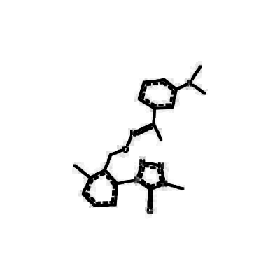 CC(=NOCc1c(C)cccc1-n1nnn(C)c1=O)c1cccc(N(C)C)c1